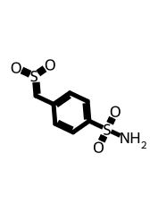 NS(=O)(=O)c1ccc(C=S(=O)=O)cc1